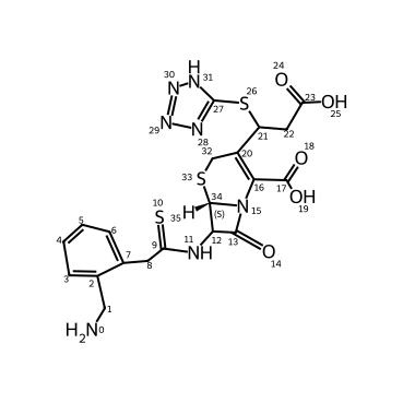 NCc1ccccc1CC(=S)NC1C(=O)N2C(C(=O)O)=C(C(CC(=O)O)Sc3nnn[nH]3)CS[C@@H]12